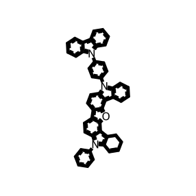 C1=Cc2c(c3c4oc5c(ccc6c5c5ccccc5n6-c5ccc(-n6c7ccccc7c7ccccc76)cc5)c4ccc3n2-c2ccccc2)CC1